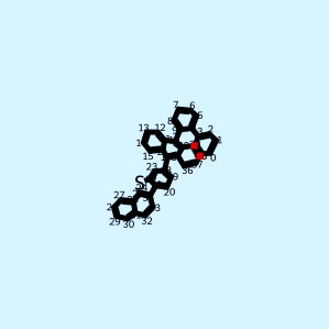 c1ccc(-c2ccccc2-c2c3ccccc3c(-c3ccc4c(c3)sc3c5ccccc5ccc43)c3ccccc23)cc1